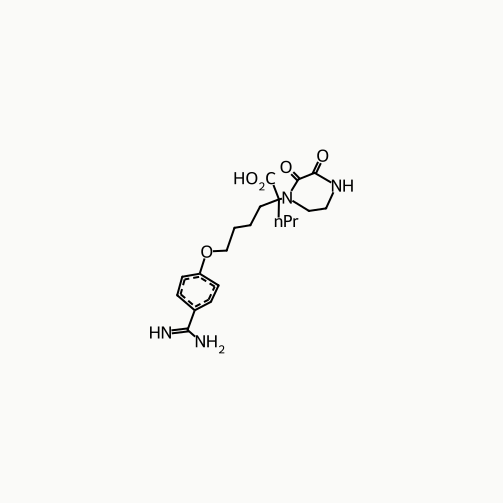 CCCC(CCCCOc1ccc(C(=N)N)cc1)(C(=O)O)N1CCNC(=O)C1=O